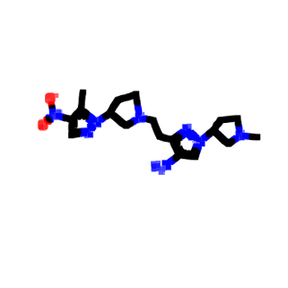 Cc1c([N+](=O)[O-])cnn1C1CCN(CCc2nn(C3CCN(C)C3)cc2N)C1